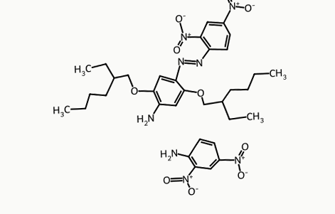 CCCCC(CC)COc1cc(N=Nc2ccc([N+](=O)[O-])cc2[N+](=O)[O-])c(OCC(CC)CCCC)cc1N.Nc1ccc([N+](=O)[O-])cc1[N+](=O)[O-]